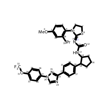 COc1ccc(N2CCS/C2=N\C(=O)NC2CCCC2c2ccc(-c3ncn(-c4ccc(OC(F)(F)F)cc4)n3)cc2)c(C(C)C)c1